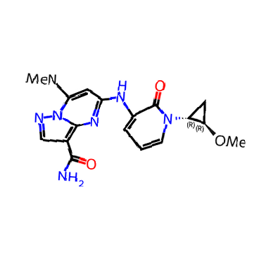 CNc1cc(Nc2cccn([C@@H]3C[C@H]3OC)c2=O)nc2c(C(N)=O)cnn12